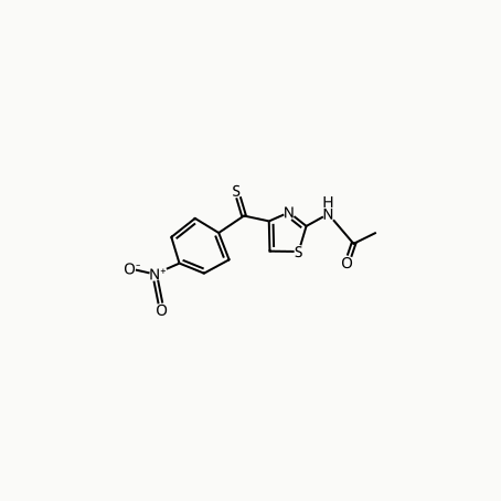 CC(=O)Nc1nc(C(=S)c2ccc([N+](=O)[O-])cc2)cs1